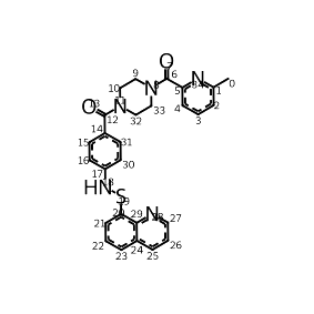 Cc1cccc(C(=O)N2CCN(C(=O)c3ccc(NSc4cccc5cccnc45)cc3)CC2)n1